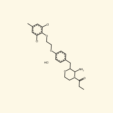 CCC(=O)N1CCOC(Cc2ccc(OCCOc3c(Cl)cc(C)cc3Cl)cc2)C1N.Cl